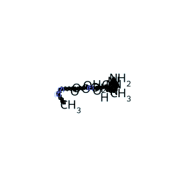 CCCCCC/C=C\C/C=C\CCCCCCC(=O)OCCCCOC(=O)/C=C/COC(=O)CCCNC(=O)c1ccc(N(C)Cc2cnc3nc(N)nc(N)c3n2)cc1